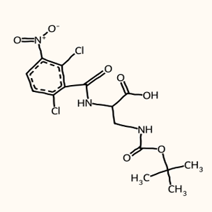 CC(C)(C)OC(=O)NCC(NC(=O)c1c(Cl)ccc([N+](=O)[O-])c1Cl)C(=O)O